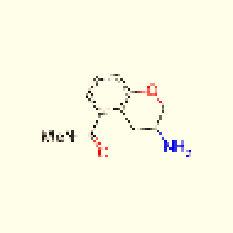 CNC(=O)c1cccc2c1CC(N)CO2